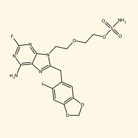 Nc1nc(F)nc2c1nc(Cc1cc3c(cc1I)OCO3)n2CCOCCOS(N)(=O)=O